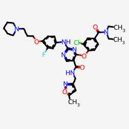 CCN(CC)C(=O)c1ccc(Oc2nc(Nc3ccc(OCCCN4CCCCC4)c(F)c3)ncc2C(=O)NCc2cc(C)on2)c(Cl)c1